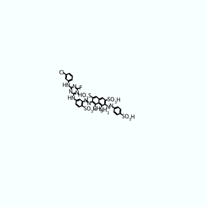 Cc1c(/N=N/c2cc(Nc3nc(F)nc(Nc4cccc(Cl)c4)n3)ccc2S(=O)(=O)O)c(S(=O)(=O)O)cc2cc(S(=O)(=O)O)c(/N=N/c3ccc(S(=O)(=O)O)cc3)c(N)c12